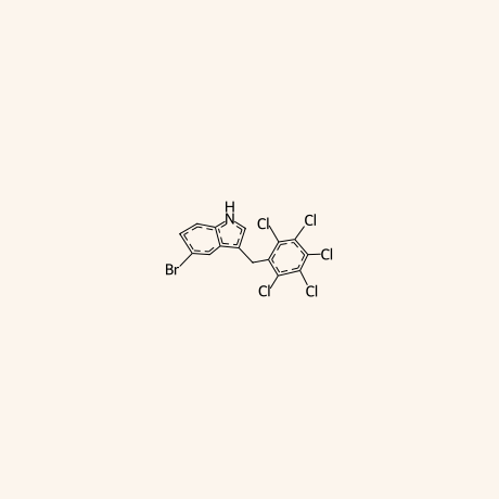 Clc1c(Cl)c(Cl)c(Cc2c[nH]c3ccc(Br)cc23)c(Cl)c1Cl